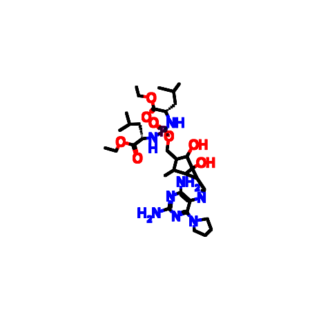 CCOC(=O)[C@H](CC(C)C)NP(=O)(N[C@@H](CC(C)C)C(=O)OCC)OCC1C(C)C2C(/C=N\c3c(N)nc(N)nc3N3CCCC3)C2(O)C1O